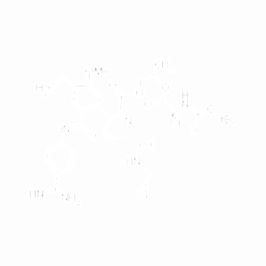 C=Cc1cc(C(=O)Nc2ccc(C(=N)N)cc2)c(-c2ccc(C(=O)NCC3CC3)nc2C(=O)OCC(C)OC(=O)[C@@H](NC(=O)OC(C)(C)C)C(C)C)cc1OC